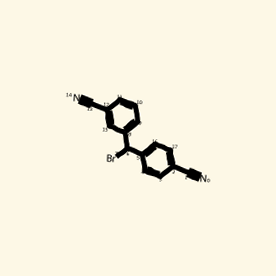 N#Cc1ccc(C(Br)c2cccc(C#N)c2)cc1